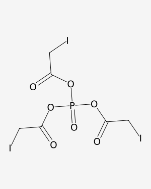 O=C(CI)OP(=O)(OC(=O)CI)OC(=O)CI